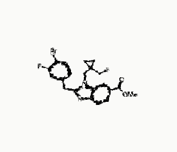 COC(=O)c1ccc2nc(Cc3ccc(Br)c(F)c3)n(CC3(CF)CC3)c2c1